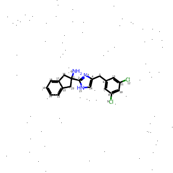 NC1(c2nc(Cc3cc(Cl)cc(Cl)c3)c[nH]2)Cc2ccccc2C1